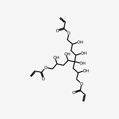 C=CC(=O)OCC(O)CC(O)C(O)(CC(O)COC(=O)C=C)C(O)CC(O)COC(=O)C=C